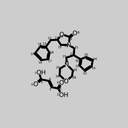 O=C(O)/C=C/C(=O)O.O=C1OC(Cc2ccccc2)CN1CC(CN1CCOCC1)c1ccccc1